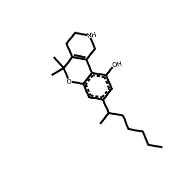 CCCCCC(C)c1cc(O)c2c(c1)OC(C)(C)C1=C2CNCC1